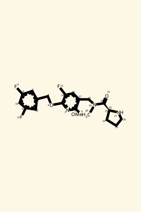 COc1nc(OCc2cc(F)cc(F)c2)c(F)cc1CN(C)C(=O)[C@@H]1CCCN1